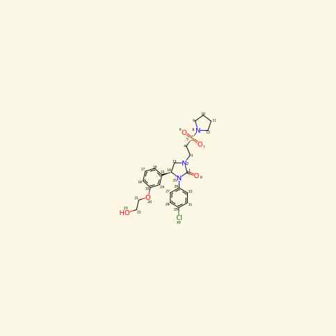 O=C1N(CCS(=O)(=O)N2CCCC2)C[C@H](c2cccc(OCCO)c2)N1c1ccc(Cl)cc1